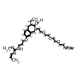 C=N/C(=N\C=C/C)NCCCOc1ccc2c(c1)CN(CCOCCOCCOCCN=[N+]=[N-])C(=O)[C@H](CC(=O)O)C2